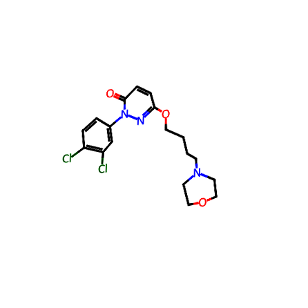 O=c1ccc(OCCCCN2CCOCC2)nn1-c1ccc(Cl)c(Cl)c1